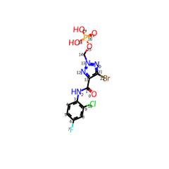 O=C(Nc1ccc(F)cc1Cl)c1nn(COP(=O)(O)O)nc1Br